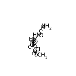 Cc1ccc2cccc(OCc3c(Cl)ccc(S(=O)(=O)N4CCC[C@H]4C(=O)NCCCNC(=O)c4ccc(C=NN)cc4)c3Cl)c2n1